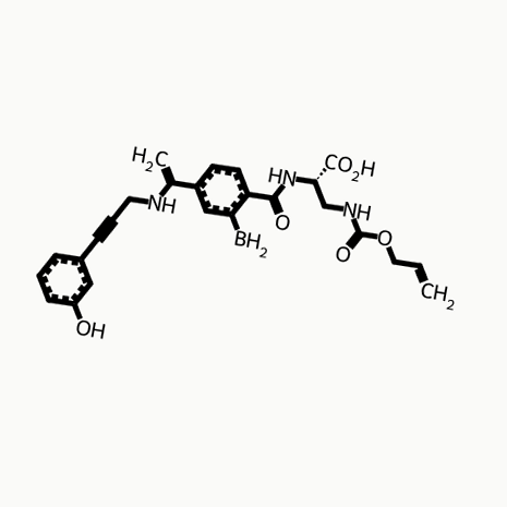 Bc1cc(C(=C)NCC#Cc2cccc(O)c2)ccc1C(=O)N[C@@H](CNC(=O)OCC=C)C(=O)O